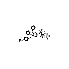 CC(C)(C)OC(=O)N1CCC(OCc2ccc(C(F)(F)F)cc2)C(C(c2ccccc2)c2ccccc2)C1